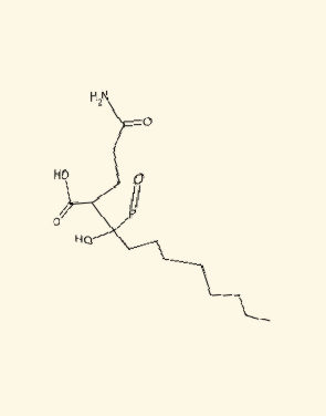 CCCCCCCCC(O)(P=O)C(CCC(N)=O)C(=O)O